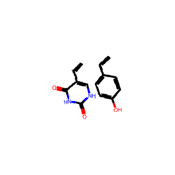 C=Cc1c[nH]c(=O)[nH]c1=O.C=Cc1ccc(O)cc1